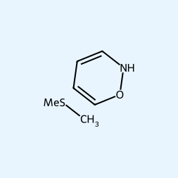 C1=CNOC=C1.CSC